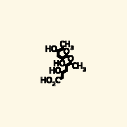 CC1OC(O[C@H](C)CC[C@@H](O)CC(=O)O)C(O)CC1O